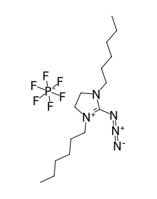 CCCCCCN1CC[N+](CCCCCC)=C1N=[N+]=[N-].F[P-](F)(F)(F)(F)F